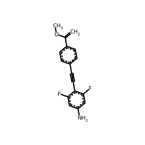 C=C(OC)c1ccc(C#Cc2c(F)cc(N)cc2F)cc1